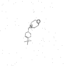 CC(C)(C)C1=CCC(CN2CCOCC2)CC1